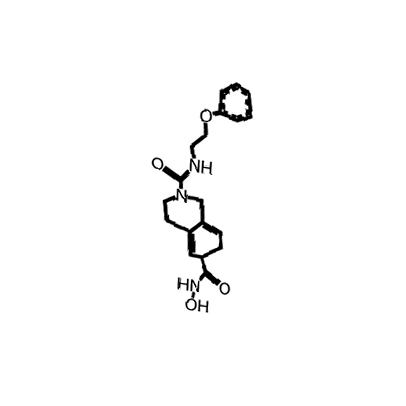 O=C(NO)C1C=C2CCN(C(=O)NCCOc3ccccc3)CC2=CC1